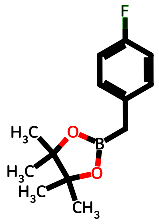 CC1(C)OB(Cc2ccc(F)cc2)OC1(C)C